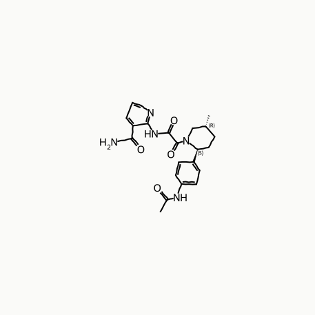 CC(=O)Nc1ccc([C@@H]2CC[C@@H](C)CN2C(=O)C(=O)Nc2ncccc2C(N)=O)cc1